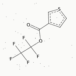 O=C(OC(F)(F)C(F)(F)F)c1ccsc1